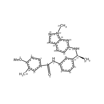 COc1ncc(C(=O)Nc2cccc([C@H](C)Nc3cnc4cnn(C)c4n3)c2)cc1C